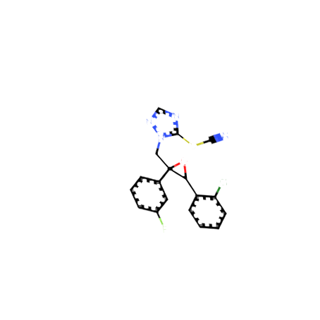 N#CSc1ncnn1CC1(c2cccc(F)c2)OC1c1ccccc1Cl